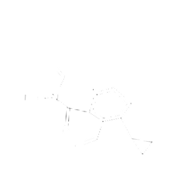 CN(C=O)C(=O)c1nccc(C2CC2)c1C=O